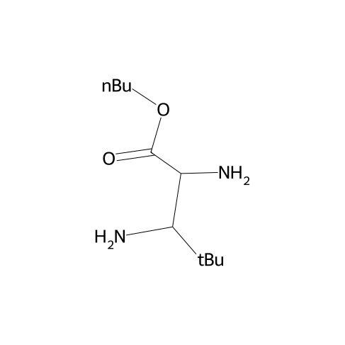 CCCCOC(=O)C(N)C(N)C(C)(C)C